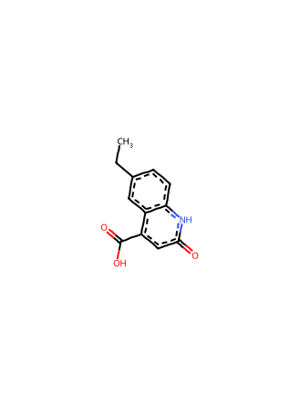 CCc1ccc2[nH]c(=O)cc(C(=O)O)c2c1